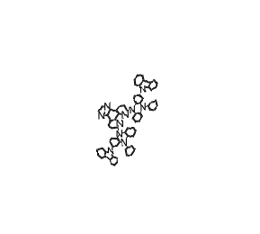 c1ccc(N2c3ccccc3N(c3ccc4c5nccnc5c5ccc(N6c7ccccc7N(c7ccccc7)c7cc(-n8c9ccccc9c9ccccc98)ccc76)nc5c4n3)c3ccc(-n4c5ccccc5c5ccccc54)cc32)cc1